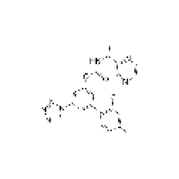 Cc1ccc(-c2cc(OC(=O)NC(C)c3cnccn3)cc(-n3cnnn3)c2)c(Cl)c1